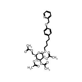 CC(=O)OC[C@H]1O[C@@H](OCCCCc2ccc(OCc3ccccn3)cc2)[C@H](OC(C)=O)[C@@H](OC(C)=O)[C@@H]1OC(C)=O